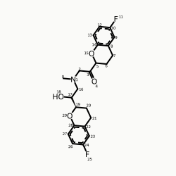 CN(CC(=O)C1CCc2cc(F)ccc2O1)CC(O)[C@H]1CCc2cc(F)ccc2O1